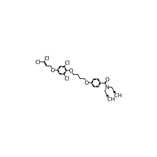 C#CCN(CC#C)C(=O)c1ccc(OCCCCOc2c(Cl)cc(OCC=C(Cl)Cl)cc2Cl)cc1